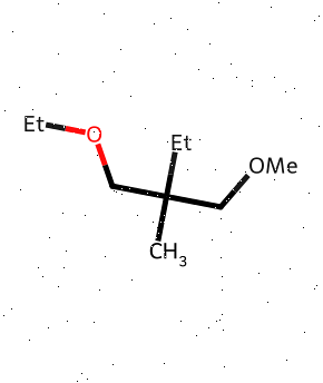 CCOCC(C)(CC)COC